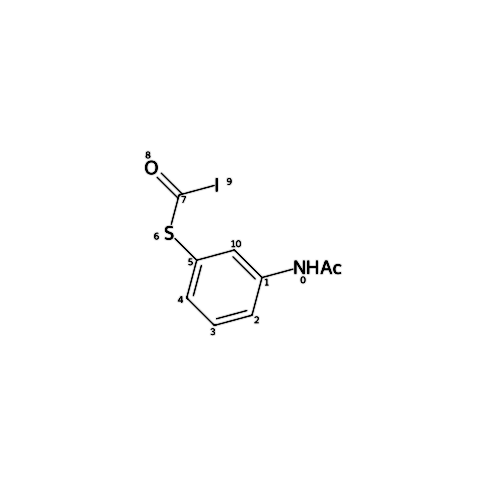 CC(=O)Nc1cccc(SC(=O)I)c1